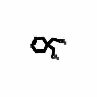 CCC1(CC)C=CN=NC1